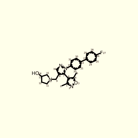 Cc1noc(C)c1-c1c(CN2CCC(O)C2)cnn1-c1ccc(-c2ccc(F)cc2)cc1